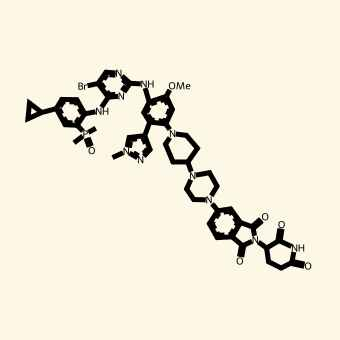 COc1cc(N2CCC(N3CCN(c4ccc5c(c4)C(=O)N(C4CCC(=O)NC4=O)C5=O)CC3)CC2)c(-c2cnn(C)c2)cc1Nc1ncc(Br)c(Nc2ccc(C3CC3)cc2P(C)(C)=O)n1